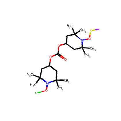 CC1(C)CC(OC(=O)OC2CC(C)(C)N(OSI)C(C)(C)C2)CC(C)(C)N1OCl